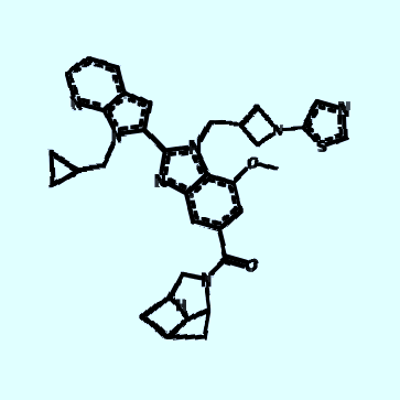 COc1cc(C(=O)N2CC3CC4CC2[C@H]43)cc2nc(-c3cc4cccnc4n3CC3CC3)n(CC3CN(c4cncs4)C3)c12